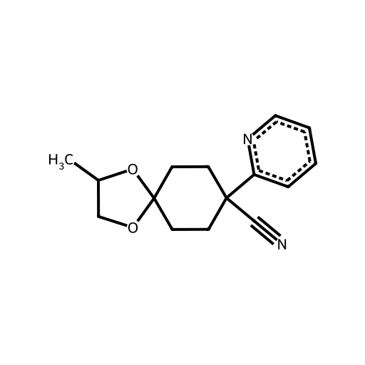 CC1COC2(CCC(C#N)(c3ccccn3)CC2)O1